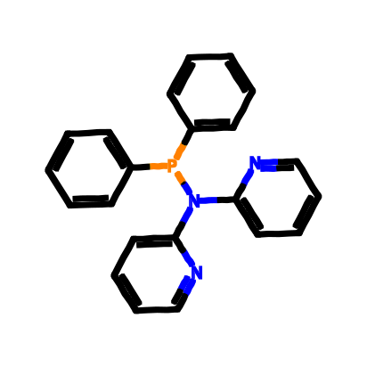 c1ccc(P(c2ccccc2)N(c2ccccn2)c2ccccn2)cc1